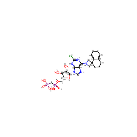 O=P(O)(O)CP(=O)(O)OC[C@H]1O[C@@H](n2cnc3c(N4CC5(CCCc6ccccc65)C4)nc(Cl)nc32)[C@@H](O)C1O